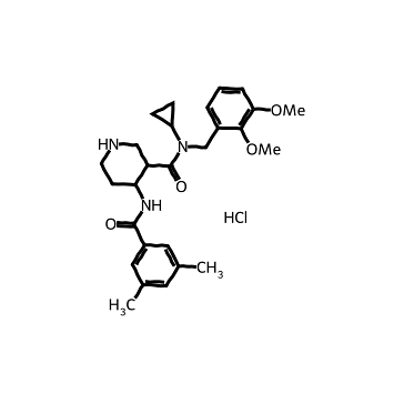 COc1cccc(CN(C(=O)C2CNCCC2NC(=O)c2cc(C)cc(C)c2)C2CC2)c1OC.Cl